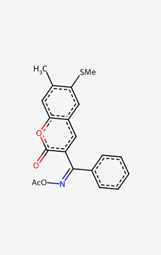 CSc1cc2cc(/C(=N\OC(C)=O)c3ccccc3)c(=O)oc2cc1C